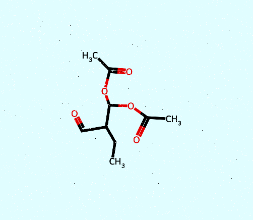 CCC(C=O)C(OC(C)=O)OC(C)=O